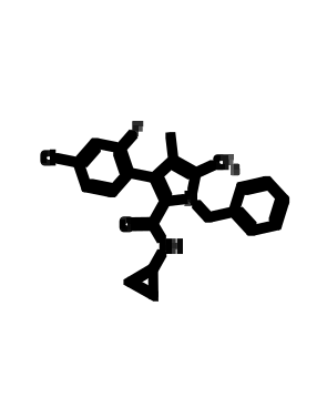 Cc1c(-c2ccc(Cl)cc2F)c(C(=O)NC2CC2)n(Cc2ccccc2)c1C(F)(F)F